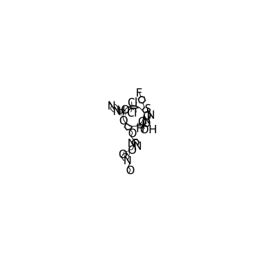 COCCN1CCO[C@H](COc2nccc(COc3ccc4cc3C[C@H](C(=O)O)Oc3ncnc5sc(-c6ccc(F)cc6)c(c35)-c3c(C)c(Cl)c(c(Cl)c3C)O[C@H](CN3CCN(C)CC3)CO4)n2)C1